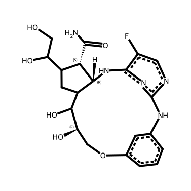 NC(=O)[C@H]1C(C(O)CO)CC2C(O)[C@H](O)COc3cccc(c3)Nc3ncc(F)c(n3)N[C@H]21